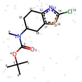 CN(C(=O)OC(C)(C)C)C1CCc2nc(Cl)sc2C1